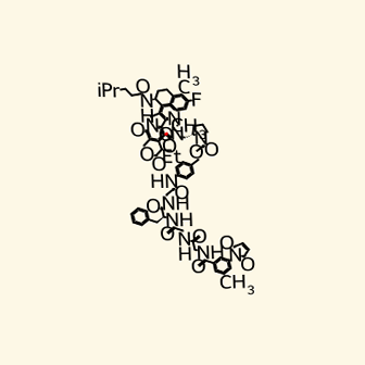 CC[C@@]1(OC(=O)N(C)C[C@@H]2CCCN2C(=O)OCc2ccc(NC(=O)CNC(=O)[C@H](Cc3ccccc3)NC(=O)CNC(=O)CNC(=O)c3cc(C)cc(N4C(=O)C=CC4=O)c3)cc2)C(=O)OCc2c1cc1n(c2=O)Cc2c-1nc1cc(F)c(C)c3c1c2[C@@H](NC(=O)CCC(C)C)CC3